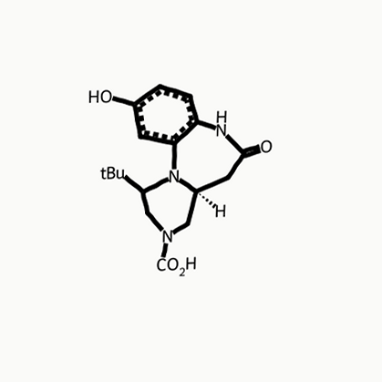 CC(C)(C)C1CN(C(=O)O)C[C@@H]2CC(=O)Nc3ccc(O)cc3N12